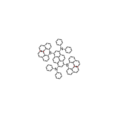 c1ccc(N(c2ccccc2)c2cc(B(c3cccc4ccccc34)c3cccc4ccccc34)c3ccc4c(N(c5ccccc5)c5ccccc5)cc(B(c5cccc6ccccc56)c5cccc6ccccc56)c5ccc2c3c54)cc1